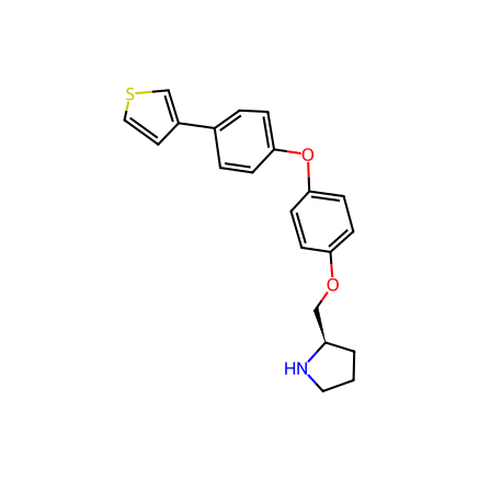 c1cc(-c2ccc(Oc3ccc(OC[C@H]4CCCN4)cc3)cc2)cs1